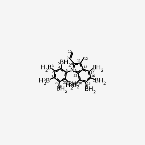 Bc1c(B)c(B)c(-n2c(C=C)c(C)c3c(B)c(B)c(B)c(B)c32)c(B)c1B